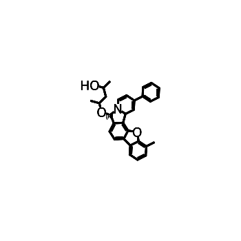 Cc1cccc2c1oc1c3c(ccc12)[C@@H](OC(C)CC(C)O)N1C=CC(c2ccccc2)=CC31